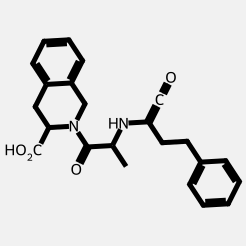 CC(NC(=C=O)CCc1ccccc1)C(=O)N1Cc2ccccc2CC1C(=O)O